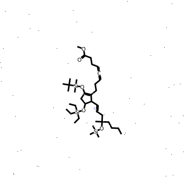 CCCCC(C)(C/C=C/C1C(CCC=C=CCCC(=O)OC)=C(O[Si](C)(C)C(C)(C)C)CC1O[Si](CC)(CC)CC)O[Si](C)(C)C